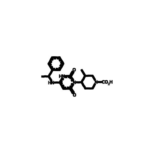 CC(Nc1cc(=O)n(C2CCN(C(=O)O)CC2C)c(=O)[nH]1)c1ccccc1